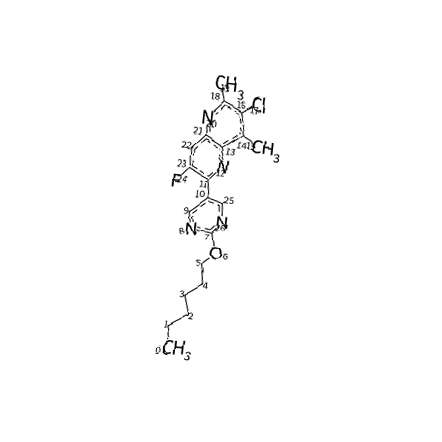 CCCCCCOc1ncc(-c2nc3c(C)c(Cl)c(C)nc3cc2F)cn1